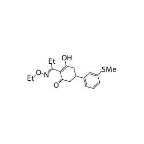 CCON=C(CC)C1=C(O)CC(c2cccc(SC)c2)CC1=O